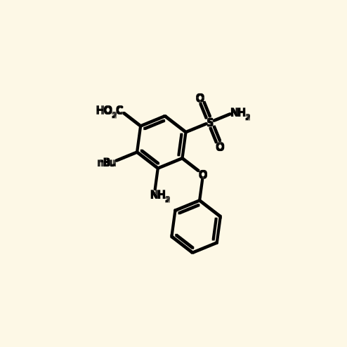 CCCCc1c(C(=O)O)cc(S(N)(=O)=O)c(Oc2ccccc2)c1N